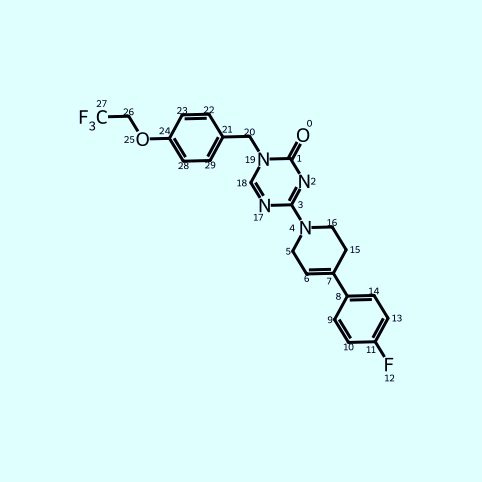 O=c1nc(N2CC=C(c3ccc(F)cc3)CC2)ncn1Cc1ccc(OCC(F)(F)F)cc1